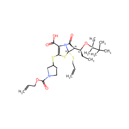 C=CCOC(=O)N1CCC(SC2=C(C(=O)O)N3C(=O)[C@@H]([C@H](CC)O[Si](C)(C)C(C)(C)C)[C@@]3(SCC=C)S2)C1